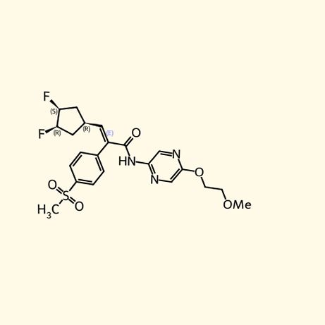 COCCOc1cnc(NC(=O)/C(=C/[C@H]2C[C@@H](F)[C@@H](F)C2)c2ccc(S(C)(=O)=O)cc2)cn1